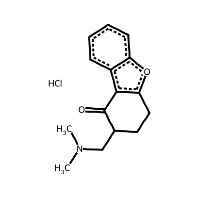 CN(C)CC1CCc2oc3ccccc3c2C1=O.Cl